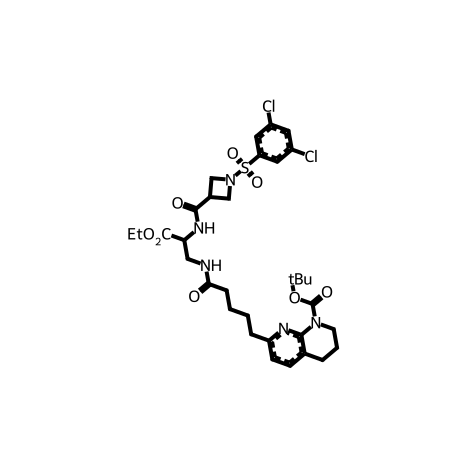 CCOC(=O)C(CNC(=O)CCCCc1ccc2c(n1)N(C(=O)OC(C)(C)C)CCC2)NC(=O)C1CN(S(=O)(=O)c2cc(Cl)cc(Cl)c2)C1